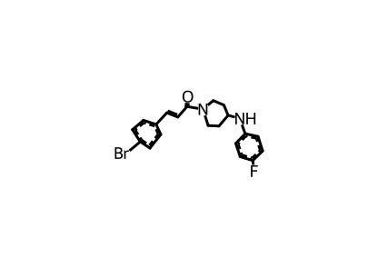 O=C(/C=C/c1ccc(Br)cc1)N1CCC(Nc2ccc(F)cc2)CC1